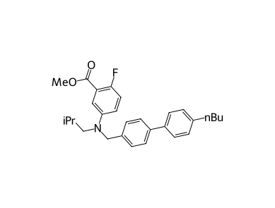 CCCCc1ccc(-c2ccc(CN(CC(C)C)c3ccc(F)c(C(=O)OC)c3)cc2)cc1